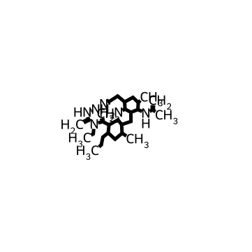 C=C(C)NC1C(C)CC(CC#N)C(N)C1CC1CC(C(=C)N(CC)C(=C)NN)C(CCC)CC1C